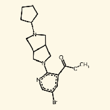 COC(=O)c1cc(Br)cnc1N1CC2CN(C3CCCC3)CC2C1